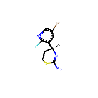 C[C@@]1(c2cc(Br)cnc2F)CCSC(N)=N1